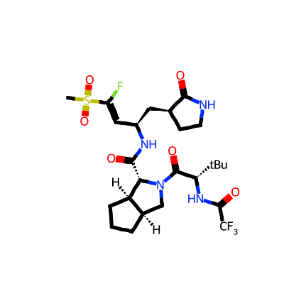 CC(C)(C)[C@H](NC(=O)C(F)(F)F)C(=O)N1C[C@H]2CCC[C@H]2[C@@H]1C(=O)N[C@@H](/C=C(\F)S(C)(=O)=O)C[C@@H]1CCNC1=O